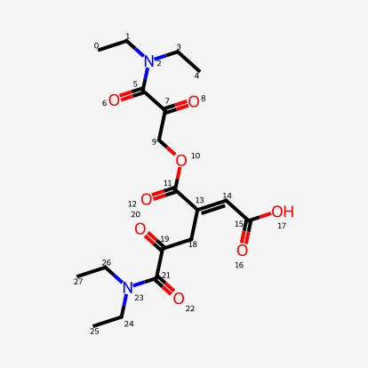 CCN(CC)C(=O)C(=O)COC(=O)C(=CC(=O)O)CC(=O)C(=O)N(CC)CC